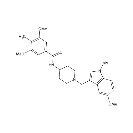 CCCn1cc(CN2CCC(NC(=O)c3cc(OC)c(C)c(OC)c3)CC2)c2cc(OC)ccc21